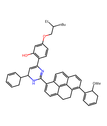 CCCCC(CC)COc1ccc(C2=CC(C3C=CC=CC3)NC(c3ccc4c5c3ccc3ccc(C6=CC=CCC6OC)c(c35)CC4)=N2)c(O)c1